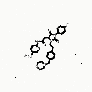 COc1ccc(NC(=O)CC2C(=O)N(c3ccc(F)cc3)C(=S)N2CCc2ccc(CN3CCOCC3)cc2)nc1